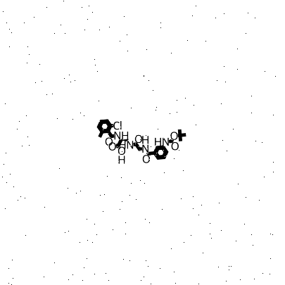 Cc1cccc(Cl)c1C(=O)N[C@@H](CNC(=O)CNC(=O)c1cccc(NC(=O)OC(C)(C)C)c1)C(=O)O